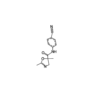 CC1=NCC(C)(C(=O)Nc2ccc(C#N)cc2)O1